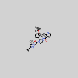 [2H]C([2H])([2H])Oc1cccc([C@@H]2[C@H](NC(=O)c3cccnc3OC)CCN2C(=O)Cn2nc(C3CC3)cc2C(F)(F)F)c1C